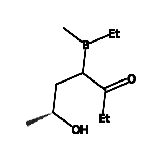 CCB(C)C(C[C@@H](C)O)C(=O)CC